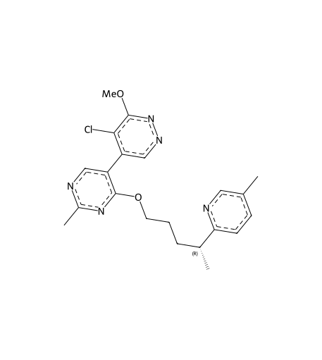 COc1nncc(-c2cnc(C)nc2OCCC[C@@H](C)c2ccc(C)cn2)c1Cl